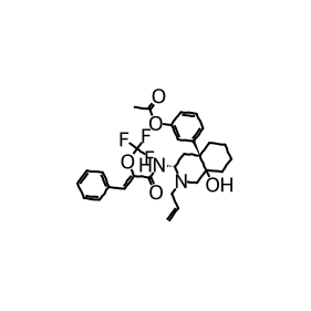 C=CCN1CC2(O)CCCC[C@@]2(c2cccc(OC(C)=O)c2)C[C@H]1NC(=O)C(=Cc1ccccc1)OC(F)(F)F